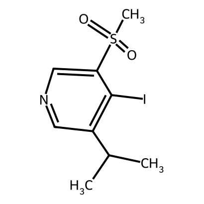 CC(C)c1cncc(S(C)(=O)=O)c1I